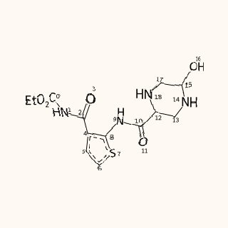 CCOC(=O)NC(=O)c1ccsc1NC(=O)C1CNC(O)CN1